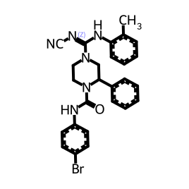 Cc1ccccc1N/C(=N/C#N)N1CCN(C(=O)Nc2ccc(Br)cc2)C(c2ccccc2)C1